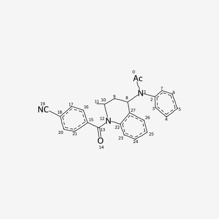 CC(=O)N(c1ccccc1)C1CC(C)N(C(=O)c2ccc(C#N)cc2)c2ccccc21